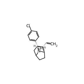 C=C[C@@H]1C2CCC(C[C@@H]1c1ccc(Cl)cc1)N2C